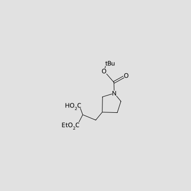 CCOC(=O)C(CC1CCN(C(=O)OC(C)(C)C)C1)C(=O)O